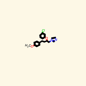 COc1ccc(CCC(Cn2ccnc2)Oc2cccc(Cl)c2)cc1